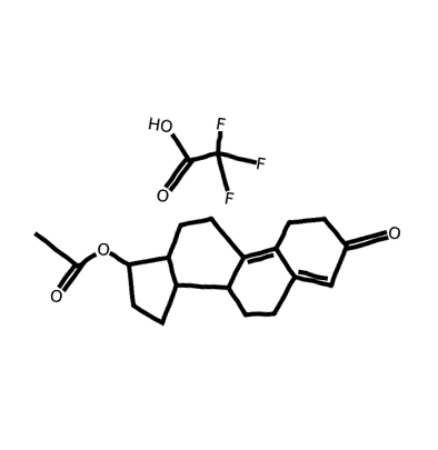 CC(=O)OC1CCC2C3CCC4=CC(=O)CCC4=C3CCC12.O=C(O)C(F)(F)F